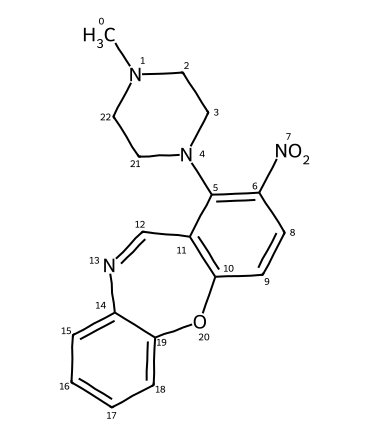 CN1CCN(c2c([N+](=O)[O-])ccc3c2C=Nc2ccccc2O3)CC1